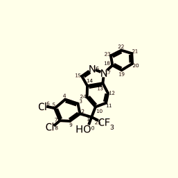 OC(c1ccc(Cl)c(Cl)c1)(c1ccc2c(cnn2-c2ccccc2)c1)C(F)(F)F